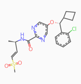 C[C@H](/C=C/S(C)(=O)=O)NC(=O)c1ncc(O[C@@H](c2ccccc2Cl)C2CCC2)cn1